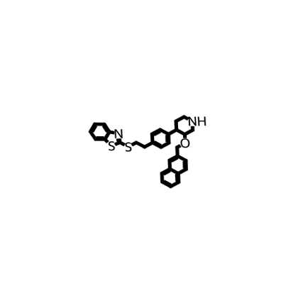 c1ccc2cc(COC3CNCCC3c3ccc(CCSc4nc5ccccc5s4)cc3)ccc2c1